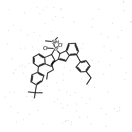 CCCCC1=Cc2c(-c3ccc(CC)cc3)cccc2[CH]1[Zr]([Cl])([Cl])([CH]1C=Cc2c(-c3ccc(C(C)(C)C)cc3)cccc21)[SiH](C)C